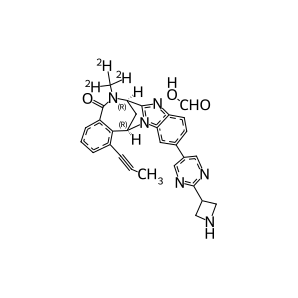 O=CO.[2H]C([2H])([2H])N1C(=O)c2cccc(C#CC)c2[C@H]2C[C@@H]1c1nc3ccc(-c4cnc(C5CNC5)nc4)cc3n12